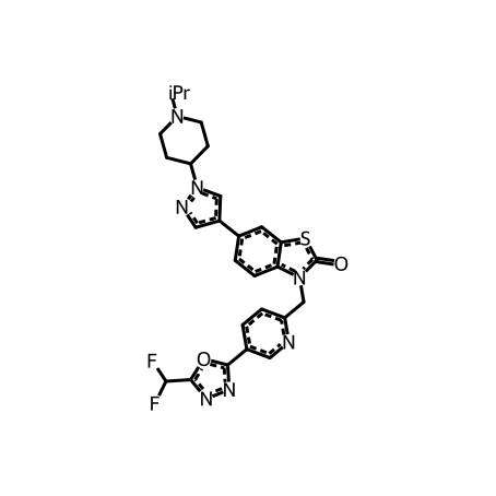 CC(C)N1CCC(n2cc(-c3ccc4c(c3)sc(=O)n4Cc3ccc(-c4nnc(C(F)F)o4)cn3)cn2)CC1